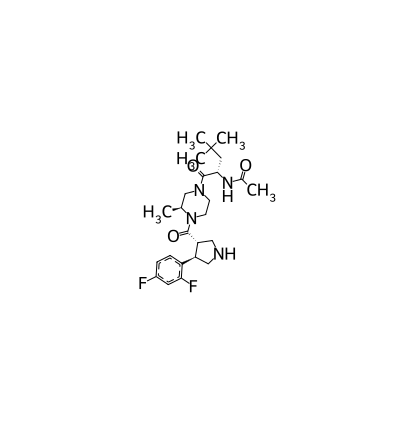 CC(=O)N[C@@H](CC(C)(C)C)C(=O)N1CCN(C(=O)[C@@H]2CNC[C@H]2c2ccc(F)cc2F)[C@@H](C)C1